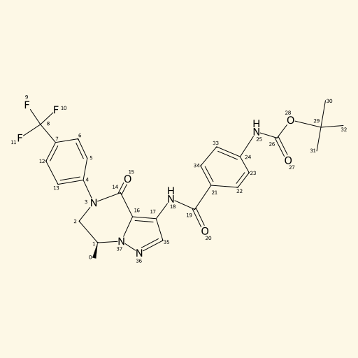 C[C@H]1CN(c2ccc(C(F)(F)F)cc2)C(=O)c2c(NC(=O)c3ccc(NC(=O)OC(C)(C)C)cc3)cnn21